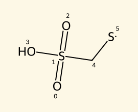 O=S(=O)(O)C[S]